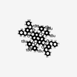 CC(C)(C)c1cc(Oc2cc3c4c(cc(Oc5cc(C(C)(C)C)cc(C(C)(C)C)c5)c5c6c(Oc7cc(C(C)(C)C)cc(C(C)(C)C)c7)cc7c8c(cc(Oc9cc(C(C)(C)C)cc(C(C)(C)C)c9)c(c2c45)c86)C(=O)N(c2c(CCC4CCCCC4)cccc2CCC2CCCCC2)C7=O)C(=O)N(c2c(CCC4CCCCC4)cccc2CCC2CCCCC2)C3=O)cc(C(C)(C)C)c1